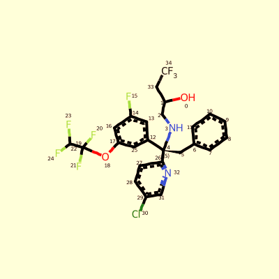 OC(CN[C@@](Cc1ccccc1)(c1cc(F)cc(OC(F)(F)C(F)F)c1)c1ccc(Cl)cn1)CC(F)(F)F